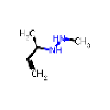 C=C[C@@H](C)NNC